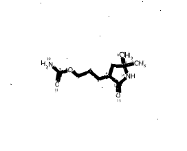 CC1(C)CC(CCCOC(N)=O)C(=O)N1